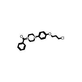 O=C(c1ccccc1)N1CCN(c2ccc(OCCCCl)cc2)CC1